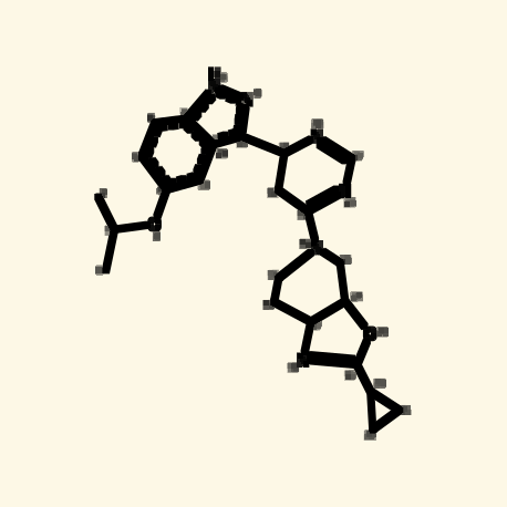 CC(C)Oc1ccc2[nH]nc(C3CC(N4CCC5N=C(C6CC6)OC5C4)=NC=N3)c2c1